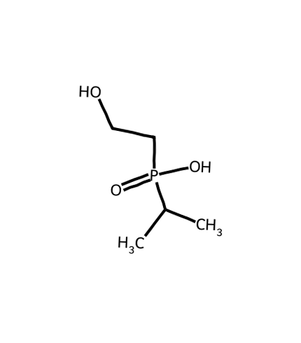 CC(C)P(=O)(O)CCO